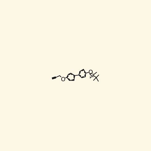 C#CCOc1ccc(-c2ccc(O[Si](C)(C)C(C)(C)C)cc2)cc1